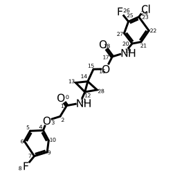 O=C(COc1ccc(F)cc1)NC12CC1(COC(=O)Nc1ccc(Cl)c(F)c1)C2